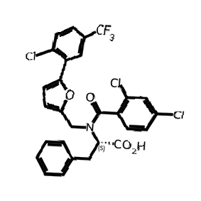 O=C(O)[C@H](Cc1ccccc1)N(Cc1ccc(-c2cc(C(F)(F)F)ccc2Cl)o1)C(=O)c1ccc(Cl)cc1Cl